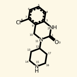 O=C1Nc2cccc(Cl)c2CN1C1CCNCC1